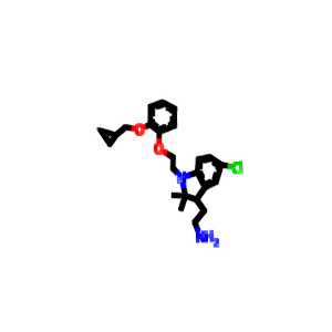 CC1(C)C(CCN)c2cc(Cl)ccc2N1CCOc1ccccc1OCC1CC1